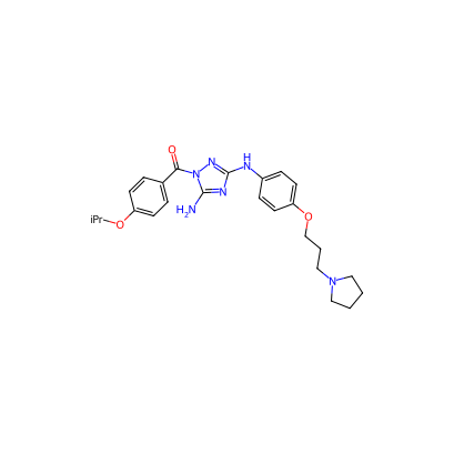 CC(C)Oc1ccc(C(=O)n2nc(Nc3ccc(OCCCN4CCCC4)cc3)nc2N)cc1